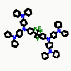 FCC(c1ccc(N(c2ccc(N(c3ccccc3)c3ccccc3)cc2)c2ccc(N(c3ccccc3)c3ccccc3)cc2)cc1)(c1ccc(N(c2ccc(N(c3ccccc3)c3ccccc3)cc2)c2ccc(N(c3ccccc3)c3ccccc3)cc2)cc1)C(F)(F)F